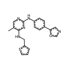 Cc1cnc(Nc2ccc(-c3cnco3)cc2)nc1NCc1cccs1